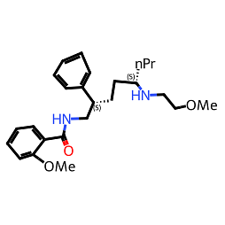 CCC[C@@H](CC[C@H](CNC(=O)c1ccccc1OC)c1ccccc1)NCCOC